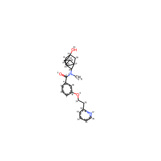 CN(C(=O)c1cccc(OCCc2ccccn2)c1)C1C2CC3(O)CC4CC1(C3)C42